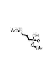 CCC(C)OP(=O)(O)CCCNC(C)=O